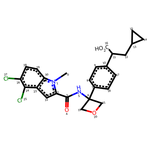 Cn1c(C(=O)NC2(c3ccc(C(CC4CC4)C(=O)O)cc3)COC2)cc2c(Cl)c(Cl)ccc21